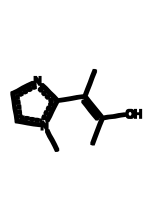 C/C(O)=C(/C)c1nccn1C